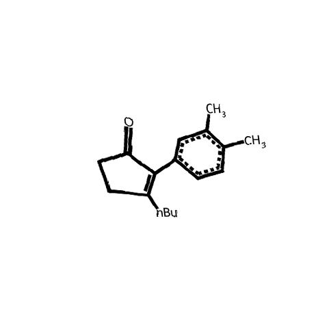 CCCCC1=C(c2ccc(C)c(C)c2)C(=O)CC1